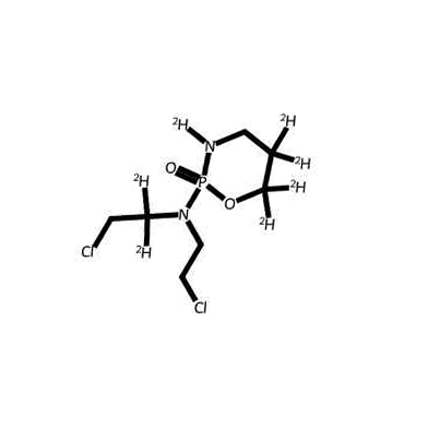 [2H]N1CC([2H])([2H])C([2H])([2H])OP1(=O)N(CCCl)C([2H])([2H])CCl